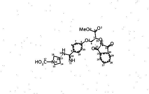 COC(=O)[C@H](COc1ccc(C(=N)N[C@@H]2CCN(C(=O)O)C2)cc1)ON1C(=O)c2ccccc2C1=O